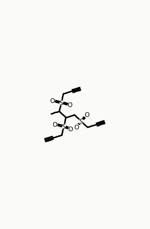 C#CCS(=O)(=O)CC(C(C)S(=O)(=O)CC#C)S(=O)(=O)CC#C